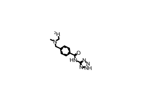 [2H]CN(C)Cc1ccc(C(=O)Nc2nn[nH]n2)cc1